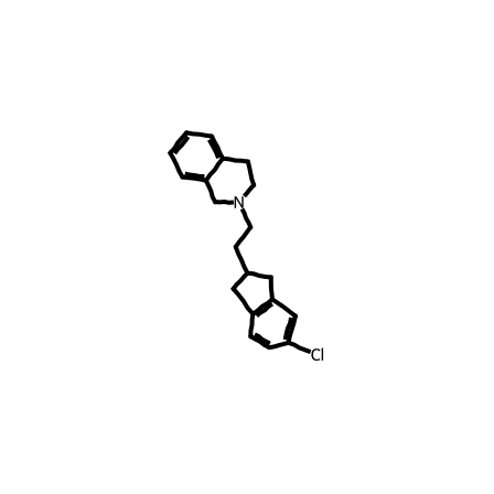 Clc1ccc2c(c1)CC(CCN1CCc3ccccc3C1)C2